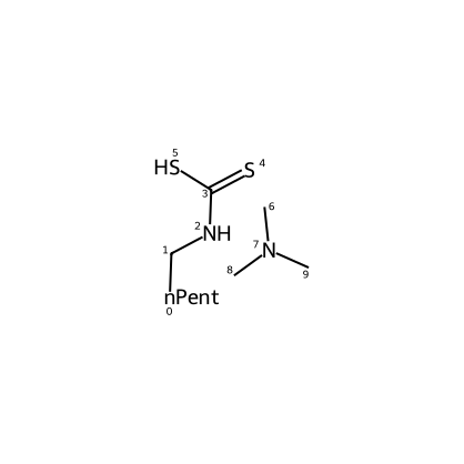 CCCCCCNC(=S)S.CN(C)C